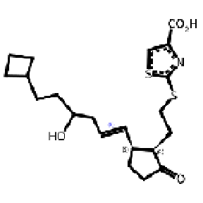 O=C(O)c1csc(SCC[C@H]2C(=O)CC[C@H]2/C=C/CC(O)CCC2CCC2)n1